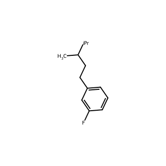 CC(C)C(C)CCc1cccc(F)c1